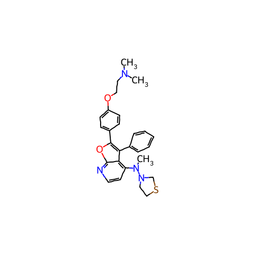 CN(C)CCOc1ccc(-c2oc3nccc(N(C)N4CCSC4)c3c2-c2ccccc2)cc1